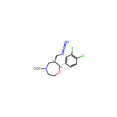 N=[N+]=NC[C@@H]1CN(C(=O)[O-])CCO[C@H]1c1ccc(Cl)c(F)c1